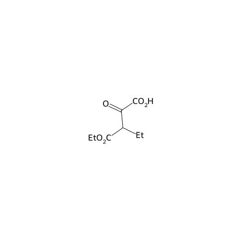 CCOC(=O)C(CC)C(=O)C(=O)O